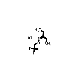 CCC(CC)=NOCC(F)(F)F.Cl